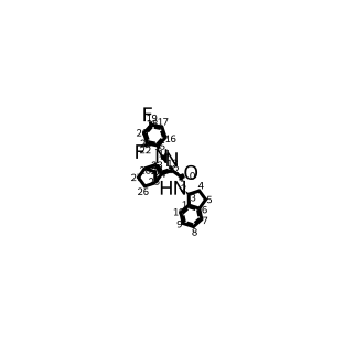 O=C(N[C@@H]1CCc2ccccc21)c1nn(-c2ccc(F)cc2F)c2c1C1CCC2C1